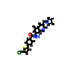 Cc1cc(NC(=O)c2ccc(-c3ccc(Cl)s3)cc2)cc2ncc(CN3CCCC3)cc12